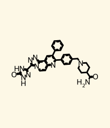 NC(=O)C1CCN(Cc2ccc(-c3nc4ccn5c(-c6n[nH]c(=O)[nH]6)nnc5c4cc3-c3ccccc3)cc2)CC1